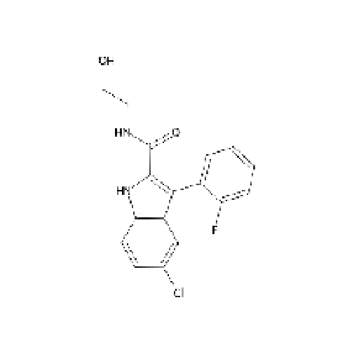 O=C(NCCO)c1[nH]c2ccc(Cl)cc2c1-c1ccccc1F